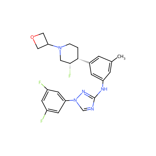 Cc1cc(Nc2ncn(-c3cc(F)cc(F)c3)n2)cc([C@H]2CCN(C3COC3)C[C@H]2F)c1